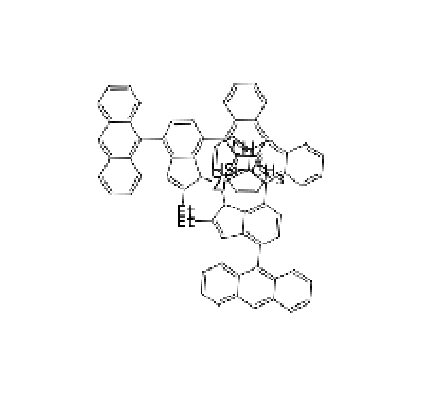 CCC1=Cc2c(-c3c4ccccc4cc4ccccc34)ccc(-c3c4ccccc4cc4ccccc34)c2[CH]1[Zr]([CH]1C(CC)=Cc2c(-c3c4ccccc4cc4ccccc34)ccc(-c3c4ccccc4cc4ccccc34)c21)[SiH](C)C